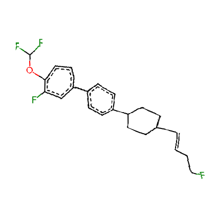 FCCC=CC1CCC(c2ccc(-c3ccc(OC(F)F)c(F)c3)cc2)CC1